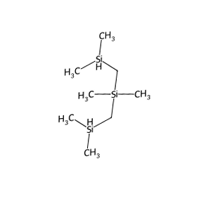 C[SiH](C)C[Si](C)(C)C[SiH](C)C